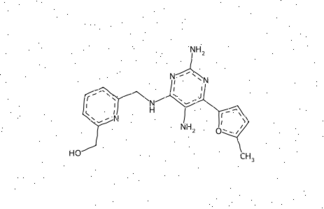 Cc1ccc(-c2nc(N)nc(NCc3cccc(CO)n3)c2N)o1